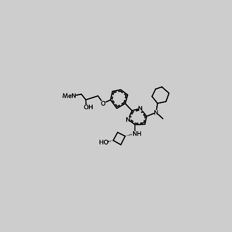 CNCC(O)COc1cccc(-c2nc(N[C@H]3C[C@@H](O)C3)cc(N(C)C3CCCCC3)n2)c1